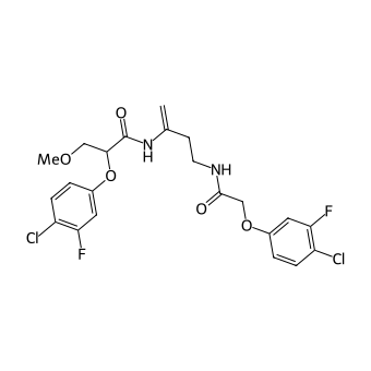 C=C(CCNC(=O)COc1ccc(Cl)c(F)c1)NC(=O)C(COC)Oc1ccc(Cl)c(F)c1